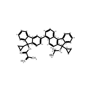 C=C(C)C(=O)OC1(C2CC2)c2ccccc2-c2cc(-c3cccc4c5c(ccc34)C(OC(=O)C(C)(C)C)(C3CC3)c3ccccc3-5)ccc21